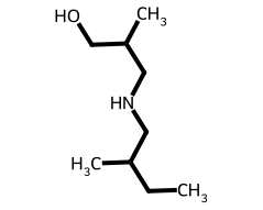 CCC(C)CNCC(C)CO